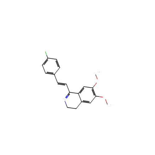 CCCCCCOc1cc2c(cc1OCCCCCC)C(/C=C/c1ccc(Cl)cc1)=NCC2